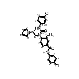 Cc1cc(C(=O)Nc2ccc(Cl)cc2)ccc1N(CCn1ccnc1)C(=O)Nc1ccc(Cl)cc1